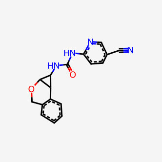 N#Cc1ccc(NC(=O)NC2C3OCc4ccccc4C23)nc1